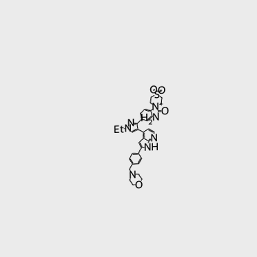 CCn1cc(-c2ccnc3[nH]c(-c4ccc(CN5CCOCC5)cc4)cc23)c(-c2ccc([N+]3(C(N)=O)CCS(=O)(=O)CC3)cc2)n1